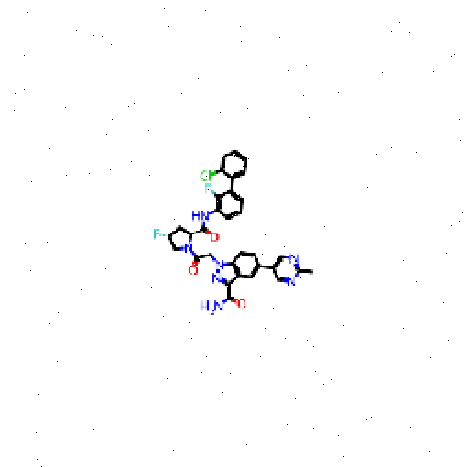 Cc1ncc(-c2ccc3c(c2)c(C(N)=O)nn3CC(=O)N2C[C@H](F)C[C@H]2C(=O)Nc2cccc(-c3ccccc3Cl)c2F)cn1